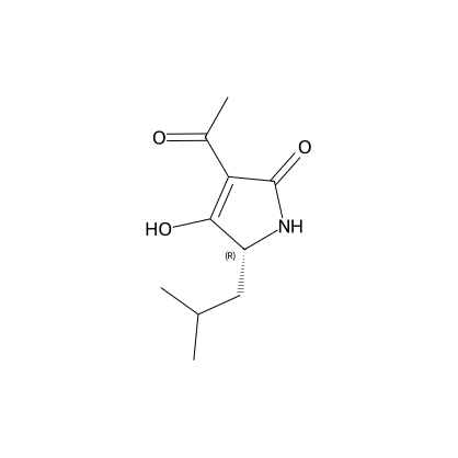 CC(=O)C1=C(O)[C@@H](CC(C)C)NC1=O